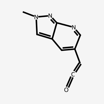 Cn1cc2cc(C=C=O)cnc2n1